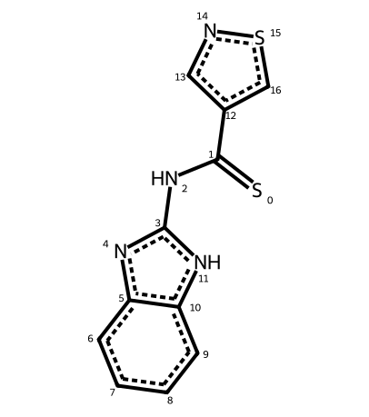 S=C(Nc1nc2ccccc2[nH]1)c1cnsc1